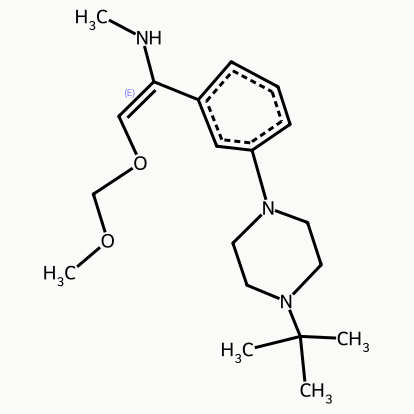 CN/C(=C/OCOC)c1cccc(N2CCN(C(C)(C)C)CC2)c1